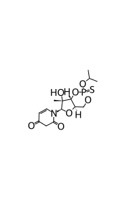 CC(C)OP1(=S)OC[C@H]2O[C@@H](N3C=CC(=O)CC3=O)[C@](C)(O)[C@@H]2O1